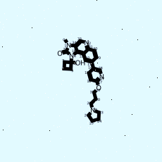 Cn1c(=O)n(C2(O)CCC2)c2c3cc(-c4ccc(OCCCN5CCCC5)nc4)ccc3ncc21